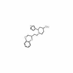 OC1CCN(CCC2COc3ccccc3O2)C(c2ccsc2)C1